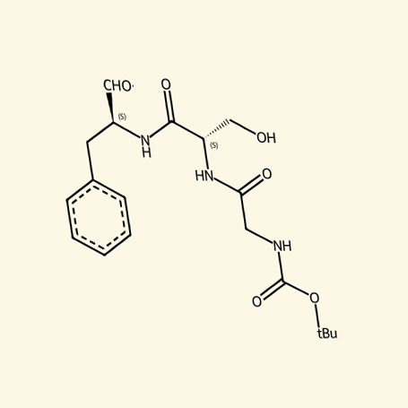 CC(C)(C)OC(=O)NCC(=O)N[C@@H](CO)C(=O)N[C@H]([C]=O)Cc1ccccc1